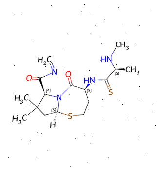 C=NC(=O)[C@H]1N2C(=O)[C@@H](NC(=S)[C@H](C)NC)CCS[C@H]2CC1(C)C